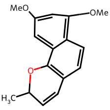 COc1cc(OC)c2ccc3c(c2c1)OC(C)C=C3